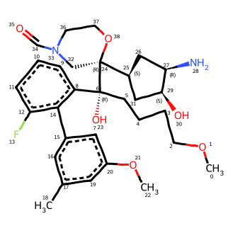 COCCCC[C@@](O)(c1cccc(F)c1-c1cc(C)cc(OC)c1)[C@@]1([C@H]2C[C@@H](N)[C@@H](O)C2)CN(C=O)CCO1